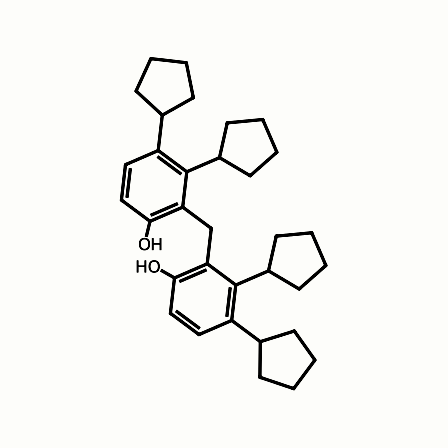 Oc1ccc(C2CCCC2)c(C2CCCC2)c1Cc1c(O)ccc(C2CCCC2)c1C1CCCC1